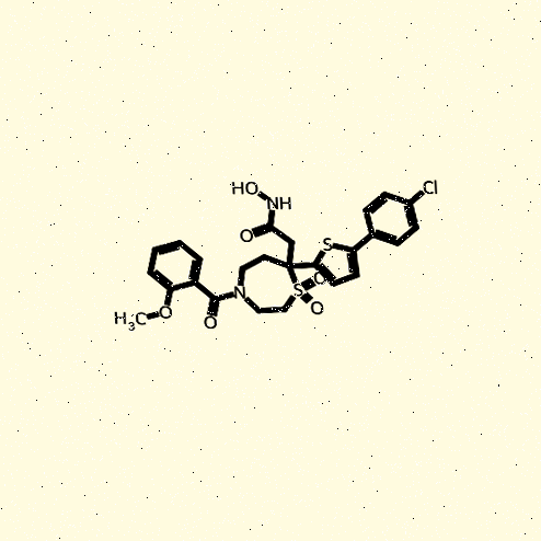 COc1ccccc1C(=O)N1CCC(CC(=O)NO)(c2ccc(-c3ccc(Cl)cc3)s2)S(=O)(=O)CC1